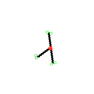 ClC(Cl)CCCCCCCCCCCOP(OCCCCCCCCCCCC(Cl)Cl)OCCCCCCCCCCCC(Cl)Cl